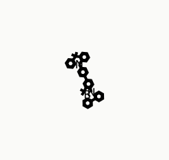 CC1(C)B2c3ccccc3-c3ccccc3N2c2ccc(-c3ccc(N4c5ccccc5C(C)(C)c5ccccc54)cc3)cc21